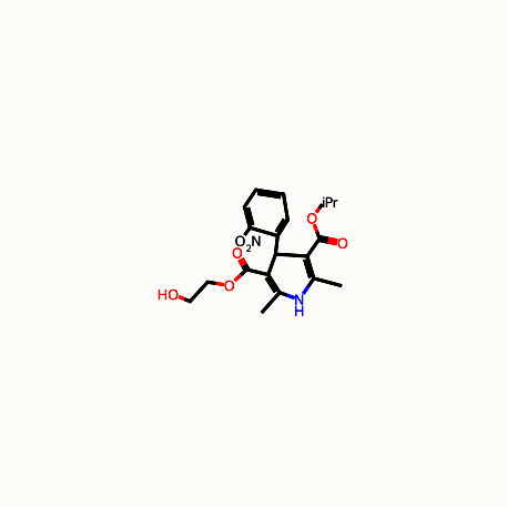 CC1=C(C(=O)OCCO)C(c2ccccc2[N+](=O)[O-])C(C(=O)OC(C)C)=C(C)N1